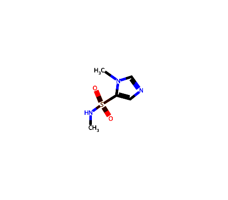 CNS(=O)(=O)c1cncn1C